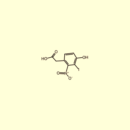 O=C(O)Cc1ccc(O)c(I)c1[N+](=O)[O-]